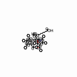 CC(=O)OC(CCOC1OC(COC(=O)c2ccccc2)C(OC(=O)c2ccccc2)C(OC(=O)c2ccccc2)C1OC(=O)c1ccccc1)C(OC(O)/C(OC(=O)c1ccccc1)=C(/OC(=O)c1ccccc1)C(CCOC(=O)c1ccccc1)OC(=O)c1ccccc1)C(OC(C)=O)C(O)OCCCCCCCCC(=O)O